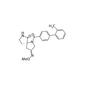 CO/N=C1/CN(C(=O)c2ccc(-c3ccccc3C)cc2)[C@@]2(CCNC2=O)C1